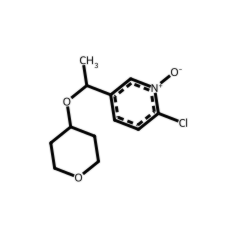 CC(OC1CCOCC1)c1ccc(Cl)[n+]([O-])c1